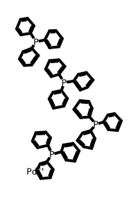 [Pd+2].c1ccc(P(c2ccccc2)c2ccccc2)cc1.c1ccc(P(c2ccccc2)c2ccccc2)cc1.c1ccc(P(c2ccccc2)c2ccccc2)cc1.c1ccc(P(c2ccccc2)c2ccccc2)cc1